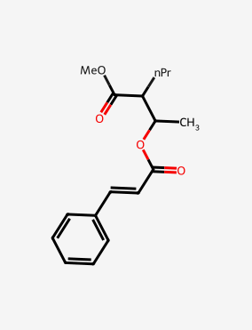 CCCC(C(=O)OC)C(C)OC(=O)C=Cc1ccccc1